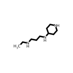 CCNCCCNC1CCNCC1